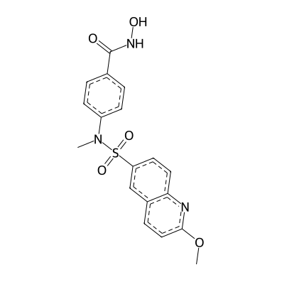 COc1ccc2cc(S(=O)(=O)N(C)c3ccc(C(=O)NO)cc3)ccc2n1